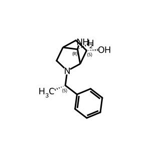 C[C@@H](c1ccccc1)N1CC2C[C@H](O)C1[C@@H]2N